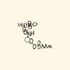 COC(=O)c1cccc(-c2ccc3c(c2)CCCC3NC(=O)CC2C(=O)NCCN2S(=O)(=O)c2ccc(C)cc2)c1